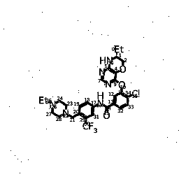 CC[C@@H]1COc2c(ncnc2Oc2cc(C(=O)Nc3ccc(CN4CCN(CC)CC4)c(C(F)(F)F)c3)ccc2Cl)N1